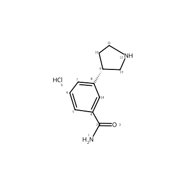 Cl.NC(=O)c1cccc([C@@H]2CCNC2)c1